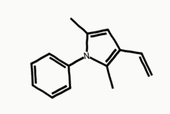 C=Cc1cc(C)n(-c2ccccc2)c1C